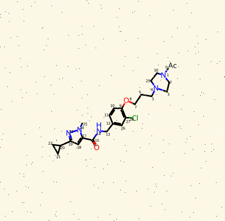 CC(=O)N1CCN(CCCOc2ccc(CNC(=O)c3cc(C4CC4)nn3C)cc2Cl)CC1